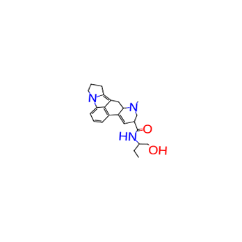 CCC(CO)NC(=O)C1C=C2c3cccc4c3c(c3n4CCC3)CC2N(C)C1